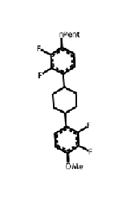 CCCCCc1ccc(C2CCC(c3ccc(OC)c(F)c3F)CC2)c(F)c1F